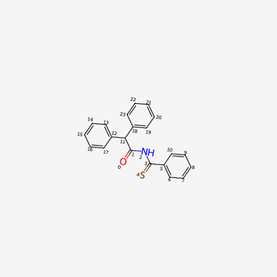 O=C(NC(=S)c1ccccc1)C(c1ccccc1)c1ccccc1